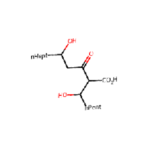 CCCCCCCC(O)CC(=O)C(C(=O)O)C(O)CCCCC